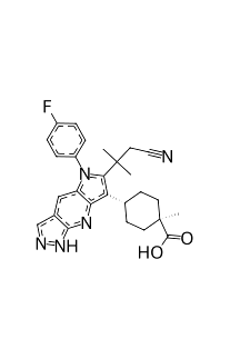 CC(C)(CC#N)c1c([C@H]2CC[C@](C)(C(=O)O)CC2)c2nc3[nH]ncc3cc2n1-c1ccc(F)cc1